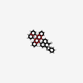 O=c1c2ccc(N3c4ccccc4N(c4ccccc4)c4ccccc43)c3c(N4c5ccccc5N(c5ccccc5)c5ccccc54)ccc(c32)c2nc3ccccc3n12